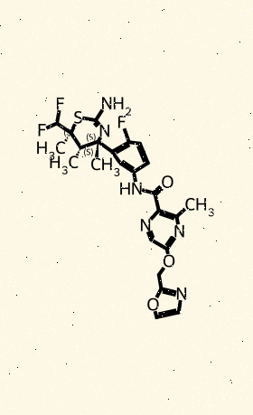 Cc1nc(OCc2ncco2)cnc1C(=O)Nc1ccc(F)c([C@@]2(C)N=C(N)S[C@](C)(C(F)F)[C@H]2C)c1